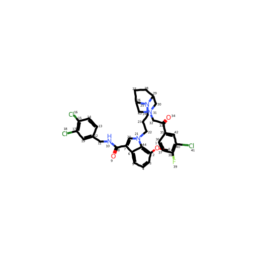 COc1cccc2c(C(=O)NCc3ccc(Cl)c(Cl)c3)cn(CCCN3C4CCC3CN(CC(=O)c3ccc(F)c(Cl)c3)C4)c12